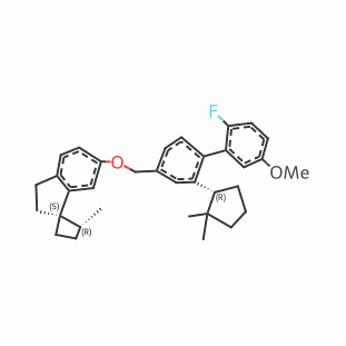 COc1ccc(F)c(-c2ccc(COc3ccc4c(c3)[C@]3(CC4)CC[C@H]3C)cc2[C@@H]2CCCC2(C)C)c1